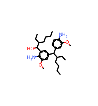 CCCCC(CC)C(O)c1cc(C(c2ccc(N)c(OC)c2)C(CC)CCCC)cc(OC)c1N